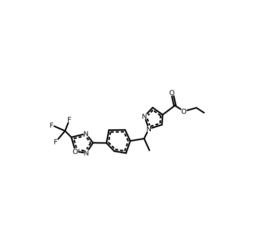 CCOC(=O)c1cnn(C(C)c2ccc(-c3noc(C(F)(F)F)n3)cc2)c1